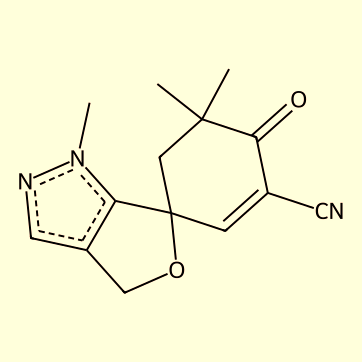 Cn1ncc2c1C1(C=C(C#N)C(=O)C(C)(C)C1)OC2